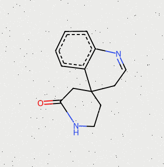 O=C1CC2(CC=Nc3ccccc32)CCN1